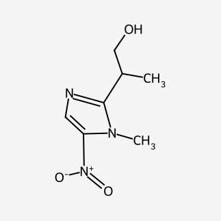 CC(CO)c1ncc([N+](=O)[O-])n1C